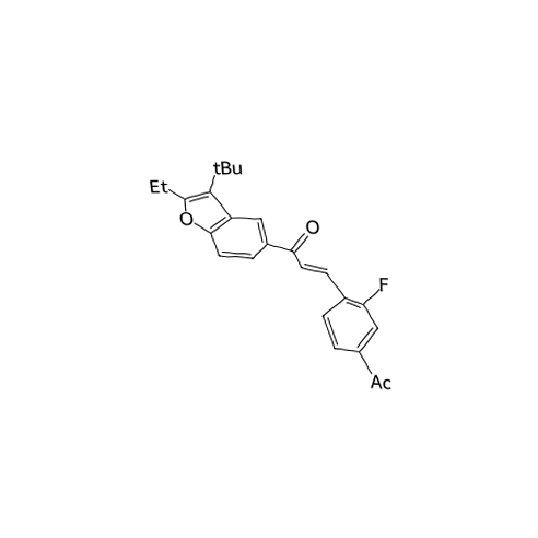 CCc1oc2ccc(C(=O)/C=C/c3ccc(C(C)=O)cc3F)cc2c1C(C)(C)C